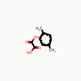 Cc1ccc(C)cc1.O=C(O)C(=O)O